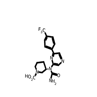 NC(=O)N(c1cncc(-c2ccc(C(F)(F)F)cc2)n1)[C@H]1CCCN(C(=O)O)C1